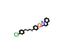 Clc1ccc(CCC[CH]c2ccc(OCc3ccc4ccccc4n3)cc2)cc1